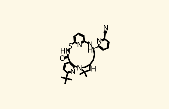 CC(C)(C)c1ccc2c(n1)N1C[C@@H](CC[C@H](c3cccc(C#N)n3)Nc3cccc(n3)SNC2=O)CC1(C)C